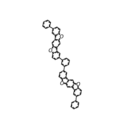 c1ccc(-c2ccc3oc4cc5c(cc4c3c2)oc2ccc(-c3cccc(-c4ccc6oc7cc8c(cc7c6c4)oc4ccc(-c6ccccc6)cc48)c3)cc25)cc1